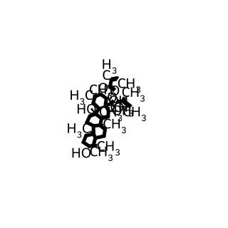 C/C=C(/C)C(=O)O[C@H]1[C@H](OC(=O)/C(C)=C\C)[C@@]2([C@H](C)O)C(CC1(C)C)[C@@]1(O)CCC3[C@@]4(C)CC[C@H](O)C(C)(C)C4CC[C@@]3(C)[C@]1(C)C[C@H]2O